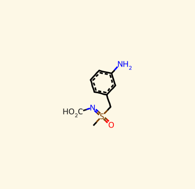 CS(=O)(Cc1cccc(N)c1)=NC(=O)O